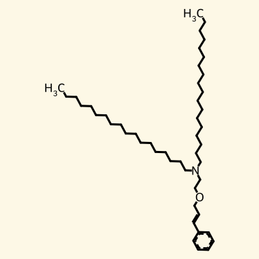 CCCCCCCCCCCCCCCCCCN(CCCCCCCCCCCCCCCCCC)CCOCC=Cc1ccccc1